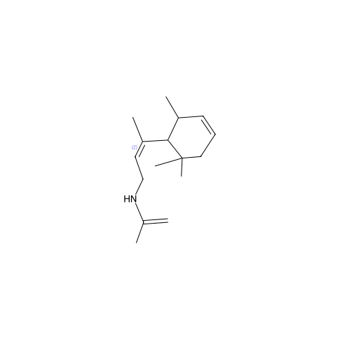 C=C(C)NC/C=C(/C)C1C(C)C=CCC1(C)C